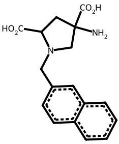 NC1(C(=O)O)CC(C(=O)O)N(Cc2ccc3ccccc3c2)C1